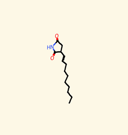 CCCCCCCCC=CC1CC(=O)NC1=O